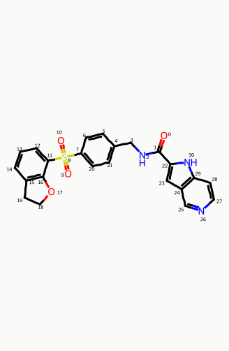 O=C(NCc1ccc(S(=O)(=O)c2cccc3c2OCC3)cc1)c1cc2cnccc2[nH]1